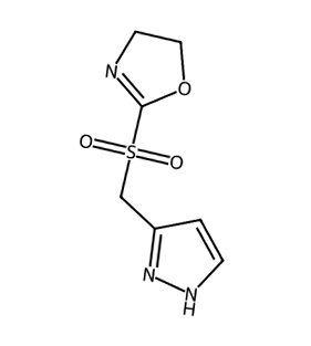 O=S(=O)(Cc1cc[nH]n1)C1=NCCO1